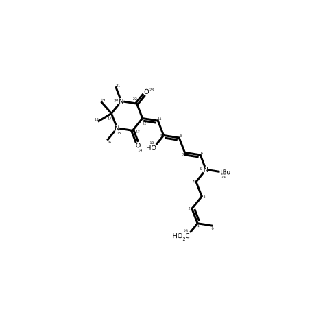 CC(=CCCN(/C=C/C=C(\O)C=C1C(=O)N(C)C(C)(C)N(C)C1=O)C(C)(C)C)C(=O)O